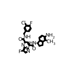 Cc1c(N)ccc2c1CC[C@@H]2NC(=O)c1cc(C(=O)NCc2ccc(F)c(Cl)c2)nc2c(F)cnn12